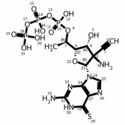 C#CC1(N)[C@@H](O)[C@@H]([C@@H](C)OP(=O)(O)OP(=O)(O)OP(=O)(O)O)O[C@H]1n1cnc2c(=S)[nH]c(N)nc21